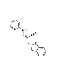 N#CC(=CNc1ccccc1)Cc1cc2ccccc2s1